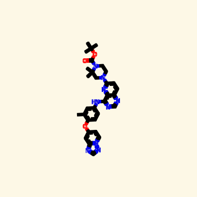 Cc1cc(Nc2ncnc3ccc(N4CCN(C(=O)OC(C)(C)C)C(C)(C)C4)nc23)ccc1Oc1ccn2ncnc2c1